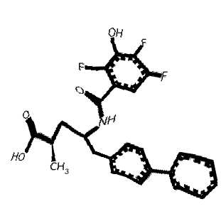 C[C@H](CC(Cc1ccc(-c2ccccc2)cc1)NC(=O)c1cc(F)c(F)c(O)c1F)C(=O)O